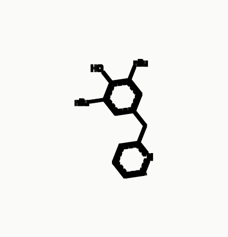 CCCCc1cc(Cc2ccc[c]n2)cc(CCCC)c1O